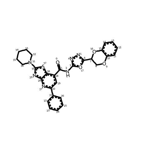 O=C(Nc1nnc(C2COc3ccccc3O2)o1)c1cc(-c2ccccc2)nc2nc(N3CCCCC3)sc12